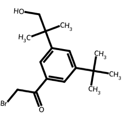 CC(C)(C)c1cc(C(=O)CBr)cc(C(C)(C)CO)c1